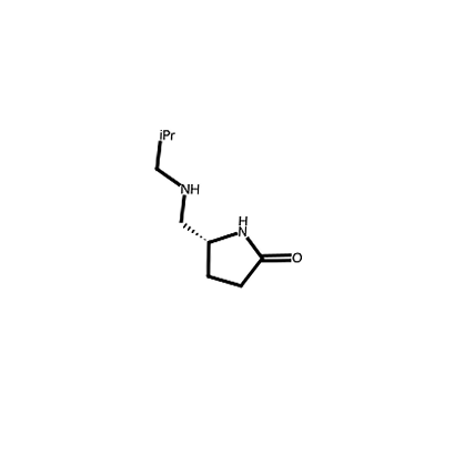 CC(C)CNC[C@H]1CCC(=O)N1